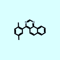 Cc1ccc(C)c(-c2ncnc3c2ccc2ccccc23)c1